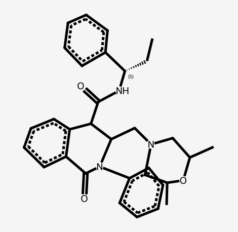 CC[C@H](NC(=O)C1c2ccccc2C(=O)N(c2ccccc2)C1CN1CC(C)OC(C)C1)c1ccccc1